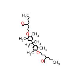 CCCCC(CCCOc1c(C)cc(C(C)(C)c2cc(C)c(OCCCC(CCCC)C3CO3)c(C)c2)cc1C)C1CO1